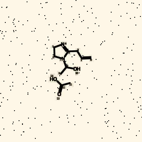 C=CCC1=NCCN1C(C)O.CC(=O)O